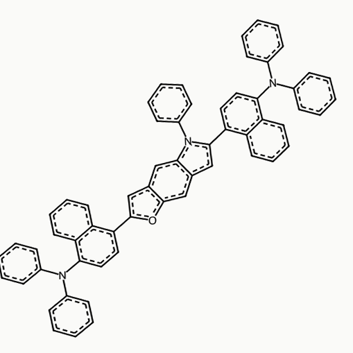 c1ccc(N(c2ccccc2)c2ccc(-c3cc4cc5c(cc(-c6ccc(N(c7ccccc7)c7ccccc7)c7ccccc67)n5-c5ccccc5)cc4o3)c3ccccc23)cc1